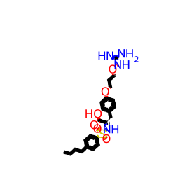 CCCCc1ccc(S(=O)(=O)N[C@@H](Cc2ccc(OCCCONC(=N)N)cc2)C(=O)O)cc1